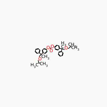 CC(C)COCC(C)(c1ccccc1)c1ccc(OC(=O)Oc2ccc(C(C)(COCC(C)C)c3ccccc3)cc2)cc1